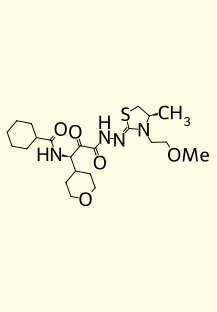 COCCN1/C(=N/NC(=O)C(=O)[C@H](NC(=O)C2CCCCC2)C2CCOCC2)SC[C@H]1C